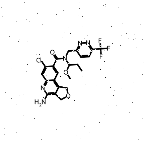 CCC(OC)N(Cc1ccc(C(F)(F)F)nn1)C(=O)c1cc2c3c(c(N)nc2cc1Cl)COC3